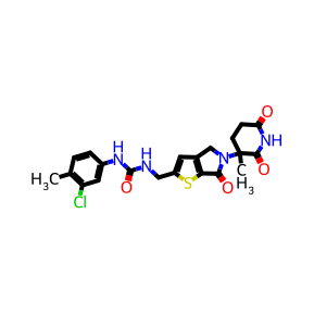 Cc1ccc(NC(=O)NCc2cc3c(s2)C(=O)N(C2(C)CCC(=O)NC2=O)C3)cc1Cl